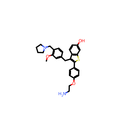 COc1cc(Cc2c(-c3ccc(OCCN)cc3)sc3cc(O)ccc23)ccc1CN1CCCC1